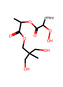 CCCCCCC(OO)C(=O)OC(C)C(=O)OCC(C)(CO)CO